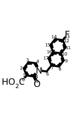 O=C(O)c1cccn(Cc2ccc3cc(F)ccc3c2)c1=O